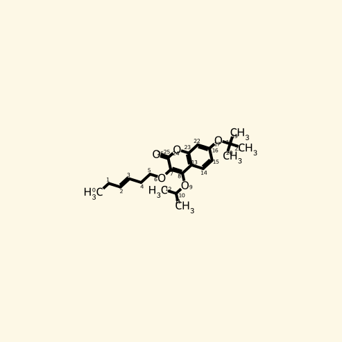 CC/C=C/CCOc1c(OC(C)C)c2ccc(OC(C)(C)C)cc2oc1=O